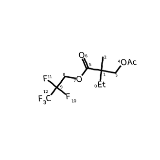 CCC(C)(COC(C)=O)C(=O)OCC(F)(F)C(F)(F)F